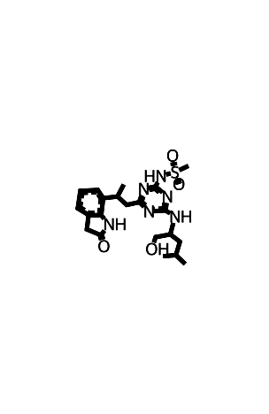 CC(C)CC(CO)Nc1nc(CC(C)c2cccc3c2NC(=O)C3)nc(NS(C)(=O)=O)n1